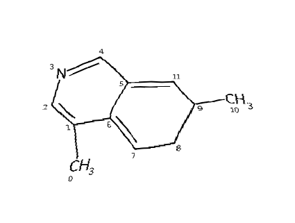 Cc1cncc2c1=CCC(C)C=2